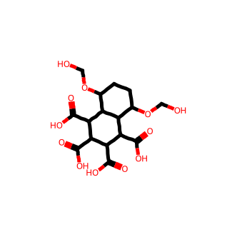 O=C(O)C1C(C(=O)O)C(C(=O)O)C2C(OCO)CCC(OCO)C2C1C(=O)O